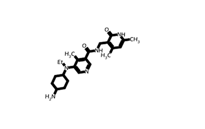 CCN(c1cncc(C(=O)NCc2c(C)cc(C)[nH]c2=O)c1C)C1CCC(N)CC1